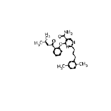 CC(C)=CC(=O)c1ccccc1Oc1nc(CCCc2cc(C)ccc2C)ncc1C(N)=O